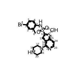 Cc1cc(Br)ccc1NS(=O)(=O)c1cc2c(N3CCNCC3)nccc2s1.Cl